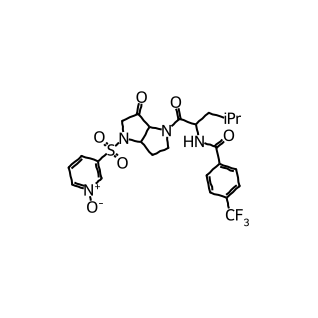 CC(C)CC(NC(=O)c1ccc(C(F)(F)F)cc1)C(=O)N1CCC2C1C(=O)CN2S(=O)(=O)c1ccc[n+]([O-])c1